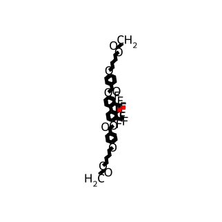 C=CC(=O)OCCCCOc1ccc(C(=O)Oc2ccc(-c3ccc(OC(=O)c4ccc(OCCCCOC(=O)C=C)cc4)c(C(F)(F)F)c3C(F)(F)F)c(C(F)(F)F)c2F)cc1